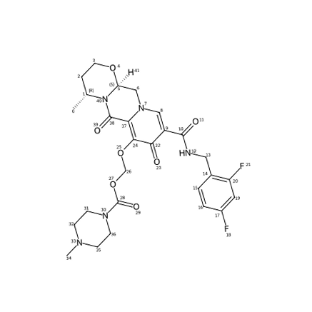 C[C@@H]1CCO[C@H]2Cn3cc(C(=O)NCc4ccc(F)cc4F)c(=O)c(OCOC(=O)N4CCN(C)CC4)c3C(=O)N12